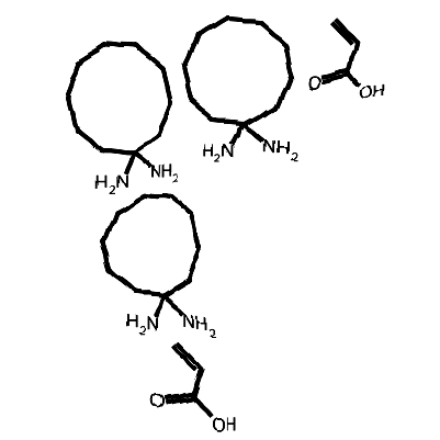 C=CC(=O)O.C=CC(=O)O.NC1(N)CCCCCCCCC1.NC1(N)CCCCCCCCC1.NC1(N)CCCCCCCCC1